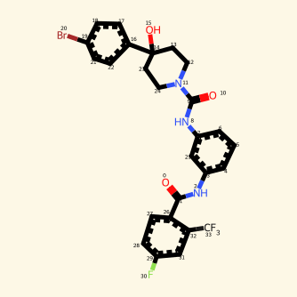 O=C(Nc1cccc(NC(=O)N2CCC(O)(c3ccc(Br)cc3)CC2)c1)c1ccc(F)cc1C(F)(F)F